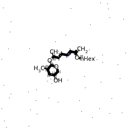 C=C(/C=C/CC[C@@H](C)O[C@@H]1OC[C@H](O)C[C@H]1C)OCCCCCC